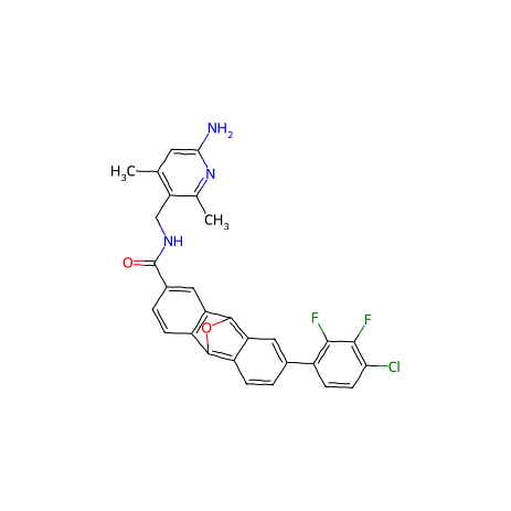 Cc1cc(N)nc(C)c1CNC(=O)c1ccc2c(c1)c1oc2c2ccc(-c3ccc(Cl)c(F)c3F)cc21